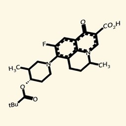 CC1CN(c2c(F)cc3c(=O)c(C(=O)O)cn4c3c2CCC4C)CC[C@@H]1OC(=O)C(C)(C)C